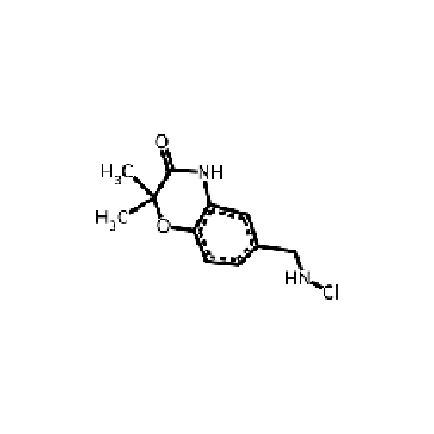 CC1(C)Oc2ccc(CNCl)cc2NC1=O